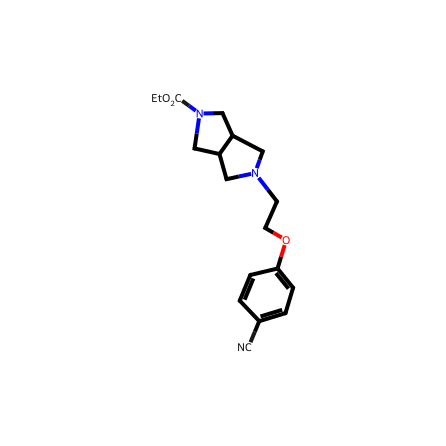 CCOC(=O)N1CC2CN(CCOc3ccc(C#N)cc3)CC2C1